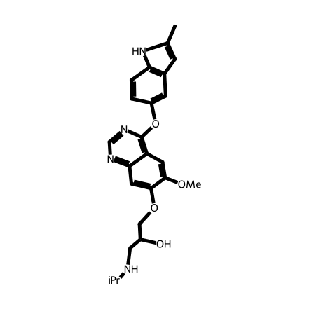 COc1cc2c(Oc3ccc4[nH]c(C)cc4c3)ncnc2cc1OCC(O)CNC(C)C